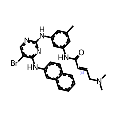 Cc1cc(NC(=O)/C=C/CN(C)C)cc(Nc2ncc(Br)c(Nc3ccc4ccccc4c3)n2)c1